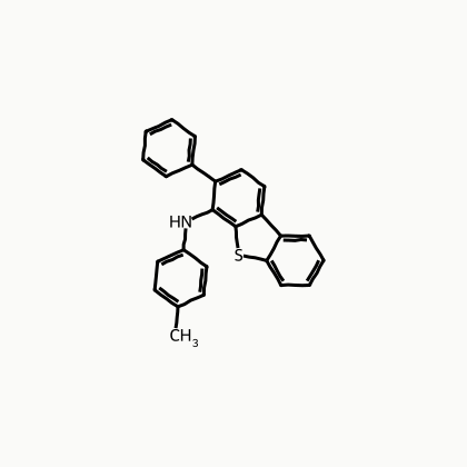 Cc1ccc(Nc2c(-c3ccccc3)ccc3c2sc2ccccc23)cc1